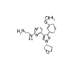 COc1cncc(-c2nn([C@@H]3CCOC3)cc2-c2ccnc(NCCN)n2)c1